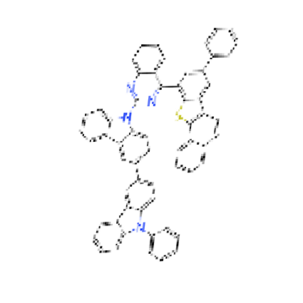 c1ccc(-c2cc(-c3nc(-n4c5ccccc5c5cc(-c6ccc7c(c6)c6ccccc6n7-c6ccccc6)ccc54)nc4ccccc34)c3sc4c5ccccc5ccc4c3c2)cc1